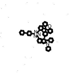 c1ccc(-c2ccc(-c3nc(-c4ccccc4)nc(-c4cccc5c4-c4cc(-c6cccc7c6c6ccccc6n7-c6ccccc6)ccc4C54c5ccccc5Oc5ccccc54)n3)cc2)cc1